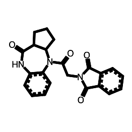 O=C1Nc2ccccc2N(C(=O)CN2C(=O)c3ccccc3C2=O)C2CCCC12